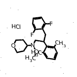 CON(CC(Cc1c(F)cccc1F)c1c(C)cccc1C)C1CCOCC1.Cl